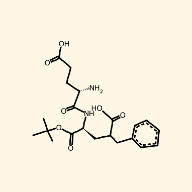 CC(C)(C)OC(=O)[C@H](CC(Cc1ccccc1)C(=O)O)NC(=O)[C@@H](N)CCC(=O)O